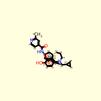 Cc1cc(C(=O)N[C@@H]2CC[C@]3(O)C4Cc5ccc(O)c6c5[C@@]3(CCCN4CC3CC3)[C@H]2O6)ccn1